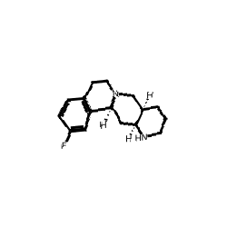 Fc1ccc2c(c1)[C@@H]1C[C@@H]3NCCC[C@@H]3CN1CC2